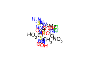 CO/N=C(\C(=O)N[C@@H]1C(=O)N2C(C(=O)O)=C(CSc3nc(=O)c(O)nn3C)CS[C@H]12)c1csc(N)n1.O=C(N[C@H](CO)[C@H](O)c1ccc([N+](=O)[O-])cc1)C(Cl)Cl